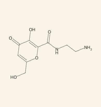 NCCNC(=O)c1oc(CO)cc(=O)c1O